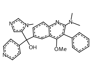 COc1c(-c2ccccc2)c(N(C)C)nc2ccc(C(O)(c3ccncc3)c3cncn3C)cc12